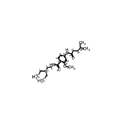 CCN(CC)CCNC(=O)c1ccc(NC(=O)CCC(C)C)cc1OC